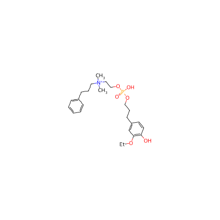 CCOc1cc(CCCOP(=O)(O)OCC[N+](C)(C)CCCc2ccccc2)ccc1O